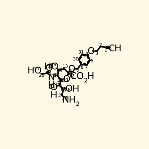 C#CCCOc1ccc(CO[C@]2(C(=O)O)C[C@H](O)[C@@H](NC(=O)CO)[C@H]([C@H](O)[C@H](O)CN)O2)cc1